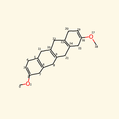 COC1=CCC2=C(C1)CC1=C(C2)CC2=C(CC(OC)=CC2)C1